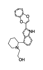 OCCN1CCCCC1c1cccc2[nH]c(C3=COc4ccccc4O3)cc12